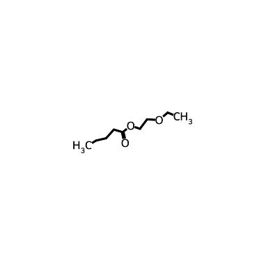 CCCCC(=O)OCCOCC